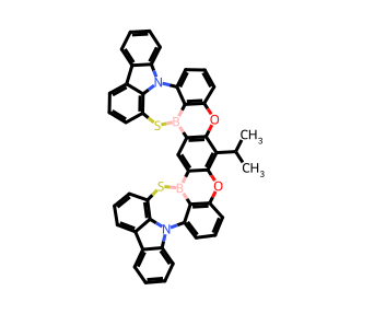 CC(C)c1c2c(cc3c1Oc1cccc4c1B3Sc1cccc3c5ccccc5n-4c13)B1Sc3cccc4c5ccccc5n(c34)-c3cccc(c31)O2